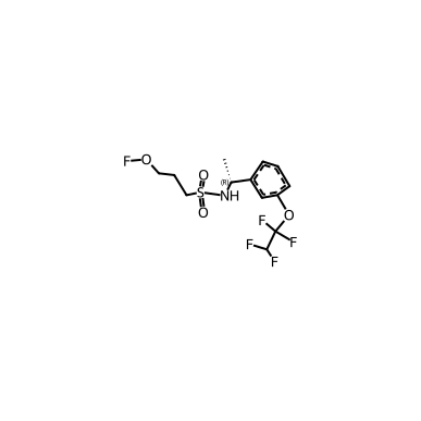 C[C@@H](NS(=O)(=O)CCCOF)c1cccc(OC(F)(F)C(F)F)c1